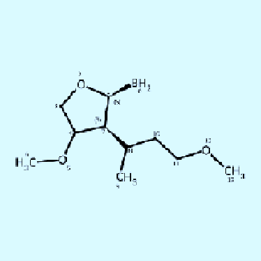 B[C@@H]1OCC(OC)[C@@H]1C(C)CCOC